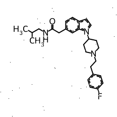 CC(C)CNC(=O)Cc1ccc2ccn(C3CCN(CCc4ccc(F)cc4)CC3)c2c1